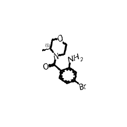 C[C@H]1COCCN1C(=O)c1ccc(Br)cc1N